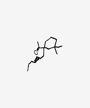 CCC=CCC1(C(C)=O)CCCC(C)(C)C1